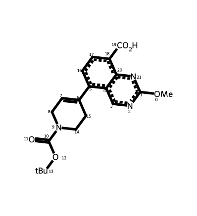 COc1ncc2c(C3=CCN(C(=O)OC(C)(C)C)CC3)ccc(C(=O)O)c2n1